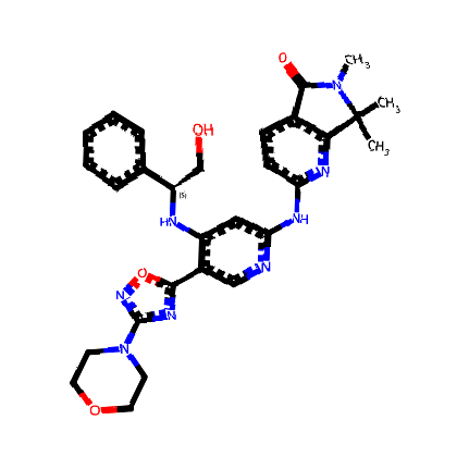 CN1C(=O)c2ccc(Nc3cc(N[C@H](CO)c4ccccc4)c(-c4nc(N5CCOCC5)no4)cn3)nc2C1(C)C